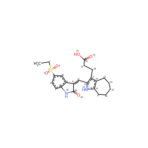 CCS(=O)(=O)c1ccc2c(c1)/C(=C/c1[nH]c3c(c1CCC(=O)O)CCCCC3)C(=O)N2